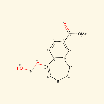 COC(=O)c1ccc2c(c1)CCCC=C2OCO